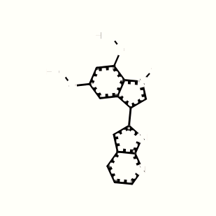 COc1cc(OC)c2c(c1)c(-c1cc3cccnc3[nH]1)cn2C